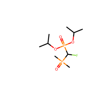 CC(C)OP(=O)(OC(C)C)C(F)P(C)(C)=O